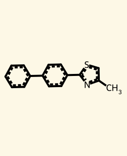 Cc1csc(-c2ccc(-c3ccccc3)cc2)n1